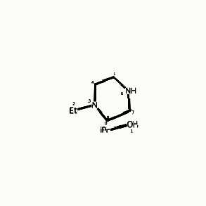 CC(C)O.CCN1CCNCC1